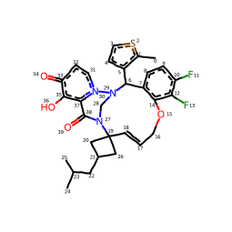 Cc1sccc1C1c2ccc(F)c(F)c2OC/C=C/C2(CC(CC(C)C)C2)N2CN1n1ccc(=O)c(O)c1C2=O